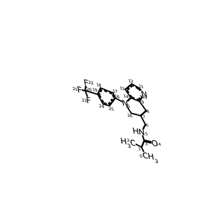 CC(C)C(=O)NCC1Cc2ncccc2N(c2ccc(C(F)(F)F)cc2)C1